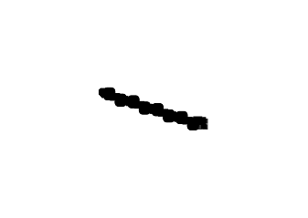 [CH2]COCCOCCOCCOCCOCCOCCOCCOC=C